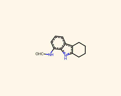 O=CNc1cccc2c3c([nH]c12)CCCC3